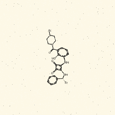 CC[C@@H](Nc1c(Nc2cccc(C(=O)N3CCN(C(C)=O)CC3)c2O)c(=O)c1=O)c1ccccc1